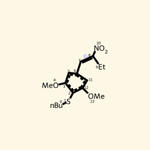 CCCCSc1c(OC)cc(/C=C(\CC)[N+](=O)[O-])cc1OC